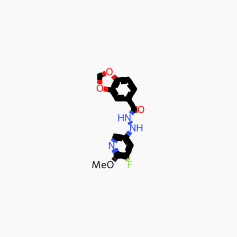 COc1ncc(NNC(=O)c2ccc3c(c2)OCO3)cc1F